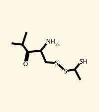 CC(S)SSCC(N)C(=O)C(C)C